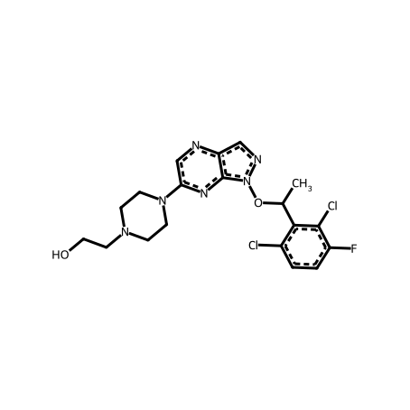 CC(On1ncc2ncc(N3CCN(CCO)CC3)nc21)c1c(Cl)ccc(F)c1Cl